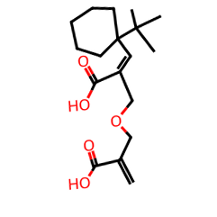 C=C(COCC(=CC1(C(C)(C)C)CCCCC1)C(=O)O)C(=O)O